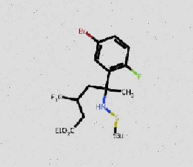 CCOC(=O)CC(CC(C)(NSC(C)(C)C)c1cc(Br)ccc1F)C(F)(F)F